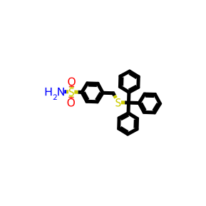 NS(=O)(=O)c1ccc(CSC(c2ccccc2)(c2ccccc2)c2ccccc2)cc1